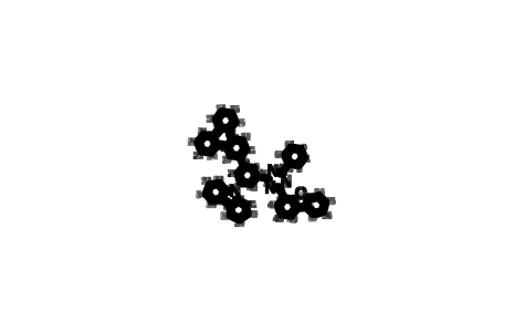 c1ccc(-c2nc(-c3cc(-c4ccc5c6ccccc6c6ccccc6c5c4)cc(-n4c5ccccc5c5ccccc54)c3)nc(-c3cccc4c3oc3ccccc34)n2)cc1